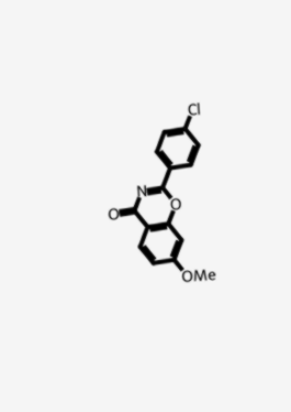 COc1ccc2c(=O)nc(-c3ccc(Cl)cc3)oc2c1